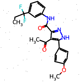 CCC(F)(F)c1cccc(NC(=O)c2n[nH]c(-c3ccc(OC)cc3)c2C(C)=O)c1